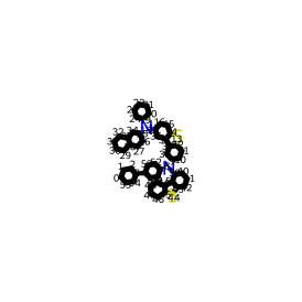 c1ccc(-c2ccc(N(c3ccc4sc5ccc(N(c6ccccc6)c6ccc7ccccc7c6)cc5c4c3)c3cccc4sc5ccccc5c34)cc2)cc1